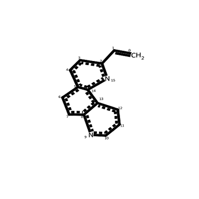 C=Cc1ccc2ccc3ncccc3c2n1